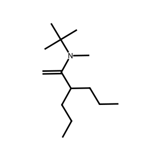 C=C(C(CCC)CCC)N(C)C(C)(C)C